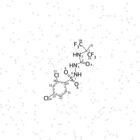 CC(NC(=O)NNS(=O)(=O)c1ccc(Cl)cc1Cl)(C(F)(F)F)C(F)(F)F